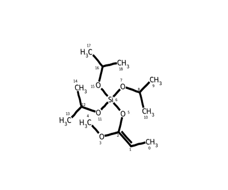 CC=C(OC)O[Si](OC(C)C)(OC(C)C)OC(C)C